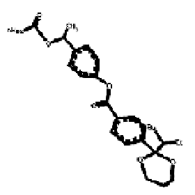 CCCCCCC(=O)OC(C)c1ccc(OC(=O)c2ccc(C3(C(CC)CCCC)OCCCO3)cc2)cc1